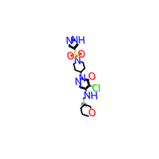 O=c1c(Cl)c(NC[C@H]2CCCOC2)cnn1C1CCN(S(=O)(=O)c2cn[nH]c2)CC1